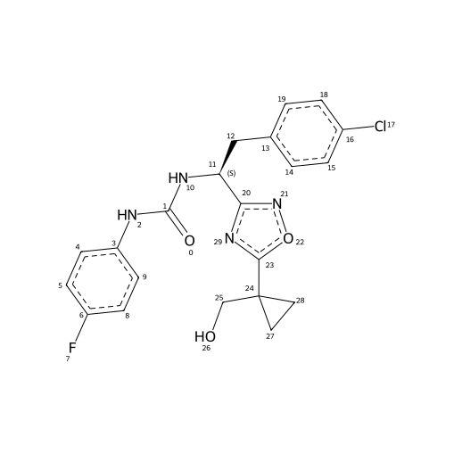 O=C(Nc1ccc(F)cc1)N[C@@H](Cc1ccc(Cl)cc1)c1noc(C2(CO)CC2)n1